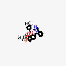 CS(=O)(=O)c1ccc2c(c1)C(OC(=O)c1ccc([N+](=O)[O-])cc1)C(C1c3ccccc3-c3cncn31)CC2